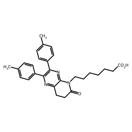 Cc1ccc(-c2nc3c(nc2-c2ccc(C)cc2)N(CCCCCCC(=O)O)C(=O)CC3)cc1